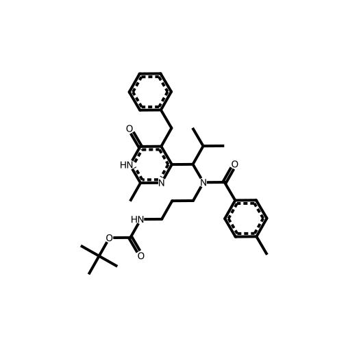 Cc1ccc(C(=O)N(CCCNC(=O)OC(C)(C)C)C(c2nc(C)[nH]c(=O)c2Cc2ccccc2)C(C)C)cc1